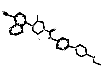 CCNC1CCN(c2ccc(NC(=O)N3C[C@H](C)N(c4ccc(C#N)c5ncccc45)C[C@H]3C)cn2)CC1